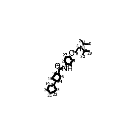 CC(C)N(CCOc1ccc(NC(=O)c2ccc(-c3ccccc3)cc2)cc1)C(C)C